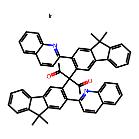 CC(=O)C(C(C)=O)(c1cc2c(cc1-c1ccc3ccccc3n1)C(C)(C)c1ccccc1-2)c1cc2c(cc1-c1ccc3ccccc3n1)C(C)(C)c1ccccc1-2.[Ir]